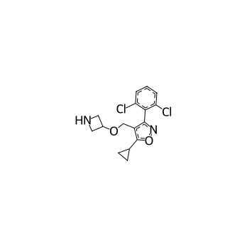 Clc1cccc(Cl)c1-c1noc(C2CC2)c1COC1CNC1